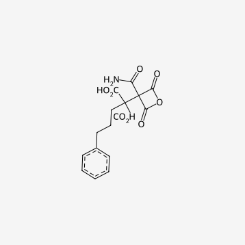 NC(=O)C1(C(CCCc2ccccc2)(C(=O)O)C(=O)O)C(=O)OC1=O